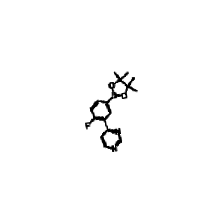 CC1(C)OB(c2ccc(F)c(-c3ccncn3)c2)OC1(C)C